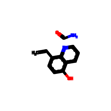 C=Cc1ccc(O)c2cccnc12.NC=O